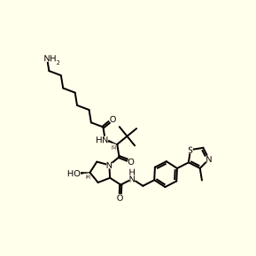 Cc1ncsc1-c1ccc(CNC(=O)C2C[C@@H](O)CN2C(=O)[C@@H](NC(=O)CCCCCCCN)C(C)(C)C)cc1